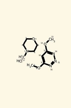 CN1CCOCC1.COc1cc(OC)nnn1.Cl